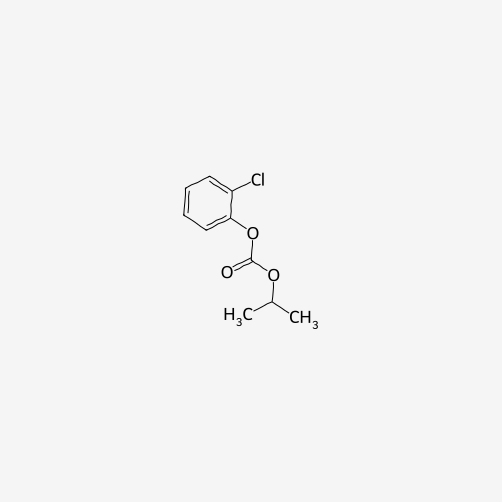 CC(C)OC(=O)Oc1ccccc1Cl